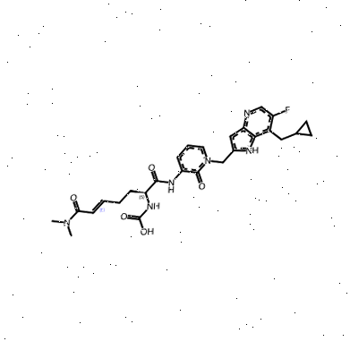 CN(C)C(=O)/C=C/CC[C@H](NC(=O)O)C(=O)Nc1cccn(Cc2cc3ncc(F)c(CC4CC4)c3[nH]2)c1=O